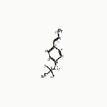 CC(C)/C=C/c1ccc(OC(C)(C)F)cc1